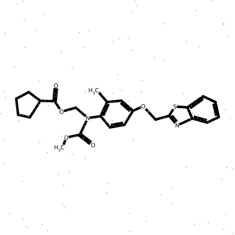 COC(=O)N(COC(=O)C1CCCC1)c1ccc(OCc2nc3ccccc3s2)cc1C